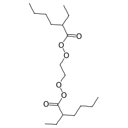 CCCCC(CC)C(=O)OOCCOOC(=O)C(CC)CCCC